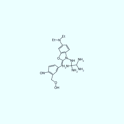 CCN(CC)c1ccc2c(c1)O/C(=C\c1ccc(N=O)c(COO)c1)N2NC(N)(N)C(N)N